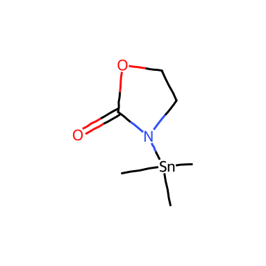 [CH3][Sn]([CH3])([CH3])[N]1CCOC1=O